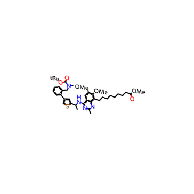 COC(=O)CCCCCCCCc1c(OC)c(OC)cc2c(NC(C)c3cc(-c4ccccc4CN(C)C(=O)OC(C)(C)C)cs3)nc(C)nc12